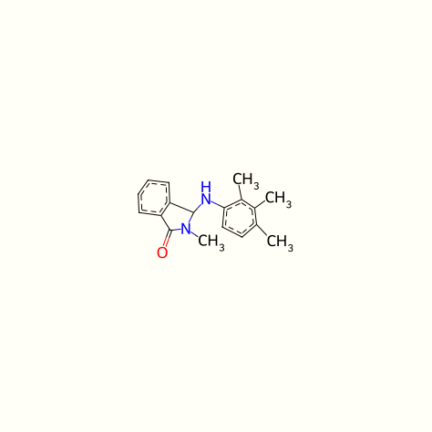 Cc1ccc(NC2c3ccccc3C(=O)N2C)c(C)c1C